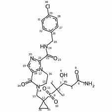 CC(C)([C@H](O)CC(N)=O)S(=O)(=O)C1(CN2CCn3c(cnc3C(=O)NCc3ccc(Cl)cc3)C2=O)CC1